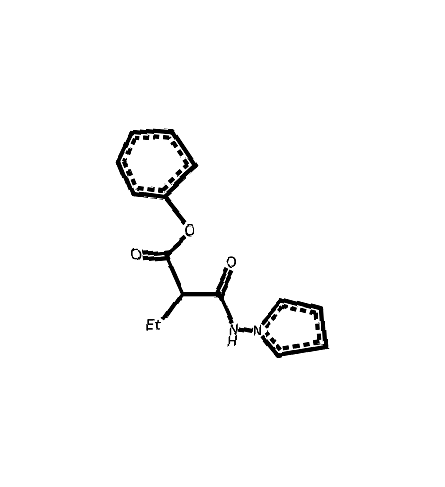 CCC(C(=O)Nn1cccc1)C(=O)Oc1ccccc1